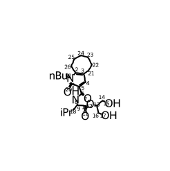 CCCCn1c2c(cc(C(=O)NC(C(=O)OC(CO)CO)C(C)C)c1=O)CCCCCC2